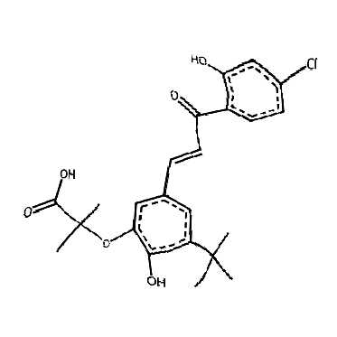 CC(C)(Oc1cc(C=CC(=O)c2ccc(Cl)cc2O)cc(C(C)(C)C)c1O)C(=O)O